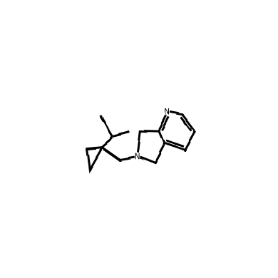 CC(C)C1(CN2Cc3cccnc3C2)CC1